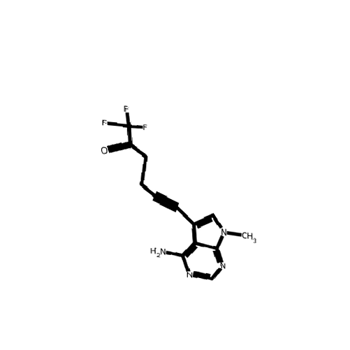 Cn1cc(C#CCCC(=O)C(F)(F)F)c2c(N)ncnc21